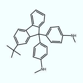 CNc1ccc(C2(c3ccc(NC)cc3)c3ccccc3-c3ccc(C(C)(C)C)cc32)cc1